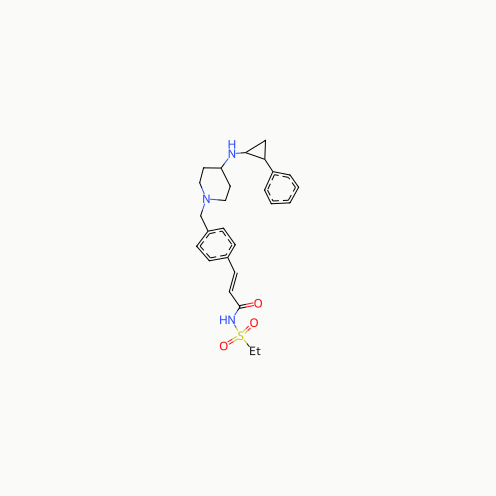 CCS(=O)(=O)NC(=O)/C=C/c1ccc(CN2CCC(NC3CC3c3ccccc3)CC2)cc1